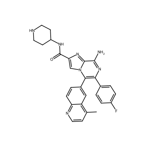 Cc1ccnc2ccc(-c3c(-c4ccc(F)cc4)nc(N)c4nc(C(=O)NC5CCNCC5)cn34)cc12